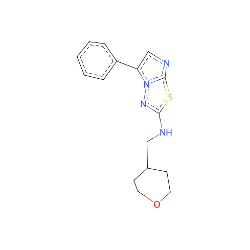 c1ccc(-c2cnc3sc(NCC4CCOCC4)nn23)cc1